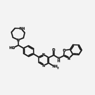 Nc1ncc(-c2ccc(C(O)N3CCCNCC3)cc2)nc1C(=O)Nc1nc2ccccc2o1